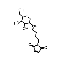 O=C1C=CC(=O)N1CCCCNC1COC(CO)C(O)C1O